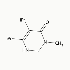 CC(C)C1=C(C(C)C)C(=O)N(C)CN1